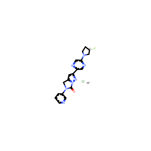 O=C1N(c2cccnc2)Cc2cc(-c3cnc(N4CC[C@H](F)C4)cn3)nn21.[Cl-].[H+]